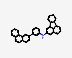 c1cc(Nc2cc3c4c(cccc4c2)-c2ccccc2-3)cc(-c2ccc3ccc4ccccc4c3c2)c1